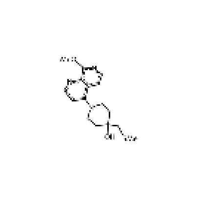 COc1nccc2c(N3CCC(O)(CSC)CC3)ccnc12